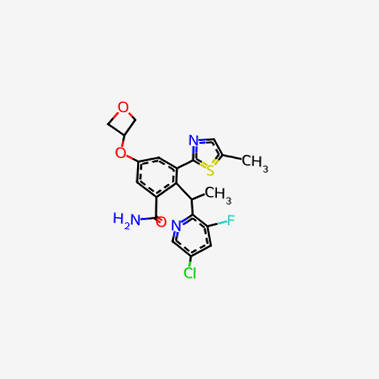 Cc1cnc(-c2cc(OC3COC3)cc(C(N)=O)c2C(C)c2ncc(Cl)cc2F)s1